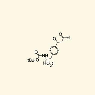 CCC(=O)CC(=O)c1ccc(CC(NC(=O)OC(C)(C)C)C(=O)O)cc1